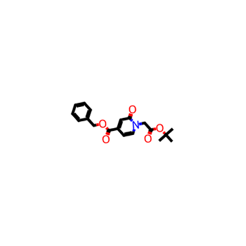 CC(C)(C)OC(=O)Cn1ccc(C(=O)OCc2ccccc2)cc1=O